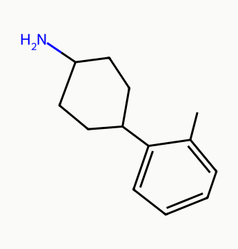 Cc1ccccc1C1CCC(N)CC1